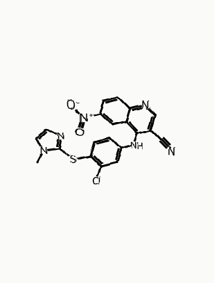 Cn1ccnc1Sc1ccc(Nc2c(C#N)cnc3ccc([N+](=O)[O-])cc23)cc1Cl